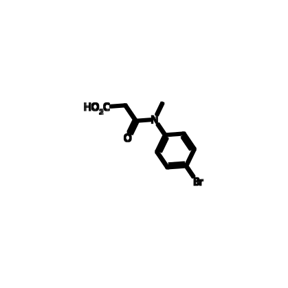 CN(C(=O)CC(=O)O)c1ccc(Br)cc1